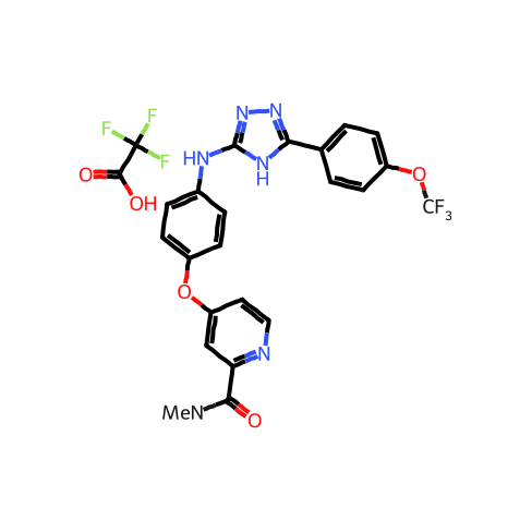 CNC(=O)c1cc(Oc2ccc(Nc3nnc(-c4ccc(OC(F)(F)F)cc4)[nH]3)cc2)ccn1.O=C(O)C(F)(F)F